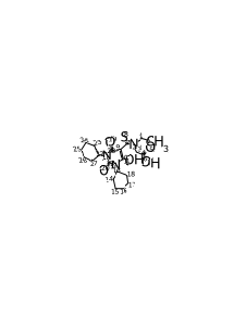 CCN(CC(=O)O)C(=S)c1c(O)n(C2CCCCC2)c(=O)n(C2CCCCC2)c1=O